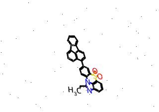 CCc1nc2cccc3c2n1-c1ccc(-c2ccc4c5c(cccc25)-c2ccccc2-4)cc1S3(=O)=O